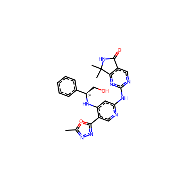 Cc1nnc(-c2cnc(Nc3ncc4c(n3)C(C)(C)NC4=O)cc2N[C@H](CO)c2ccccc2)o1